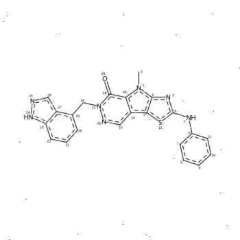 Cn1c2nc(Nc3ccccc3)sc2c2cnn(Cc3cccc4[nH]ncc34)c(=O)c21